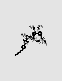 CCCCCCCc1ccc(-c2nc(C)c(C(=O)N[C@@H](CCN)C(=O)N(C)[C@@H]3C(=O)N[C@@H](C)C(=O)N[C@H](C(=O)NCC#N)Cc4ccc(OCCN)c(c4)-c4cc3ccc4OCCN)c(C)n2)cc1